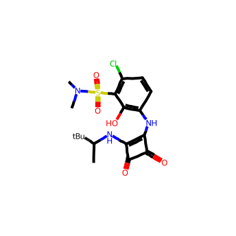 CC(Nc1c(Nc2ccc(Cl)c(S(=O)(=O)N(C)C)c2O)c(=O)c1=O)C(C)(C)C